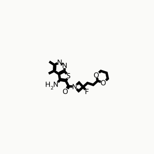 Cc1nnc2sc(C(=O)N3CC(F)(CCC4OCCCO4)C3)c(N)c2c1C